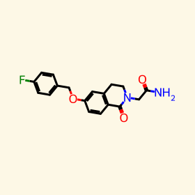 NC(=O)CN1CCc2cc(OCc3ccc(F)cc3)ccc2C1=O